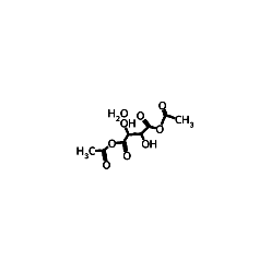 CC(=O)OC(=O)C(O)C(O)C(=O)OC(C)=O.O